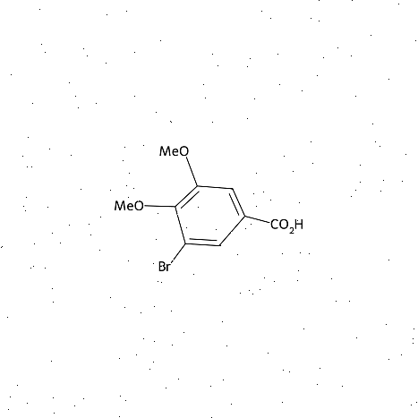 COc1cc(C(=O)O)cc(Br)c1OC